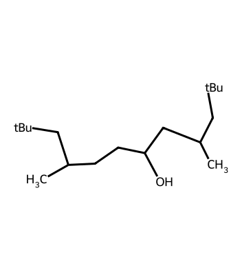 CC(CCC(O)CC(C)CC(C)(C)C)CC(C)(C)C